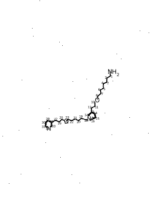 NCCCCCCCCOCCCc1ccc[n+](CCCCCCOCCCc2cccnc2)c1